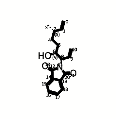 C=C[C@@H](C)CC[C@H](O)[C@H](C=C)N1C(=O)c2ccccc2C1=O